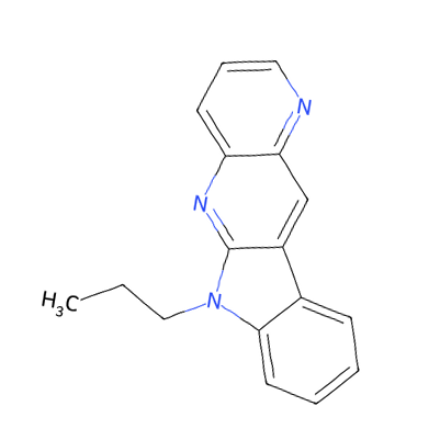 CCCn1c2ccccc2c2cc3ncccc3nc21